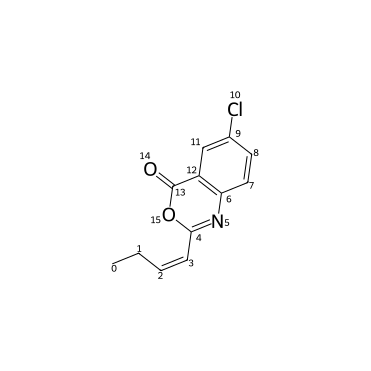 CC/C=C\c1nc2ccc(Cl)cc2c(=O)o1